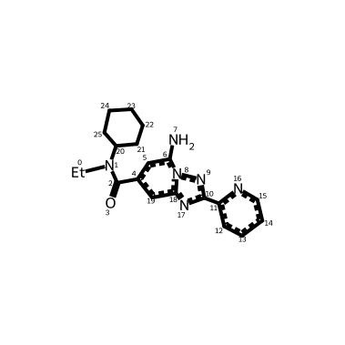 CCN(C(=O)c1cc(N)n2nc(-c3ccccn3)nc2c1)C1CCCCC1